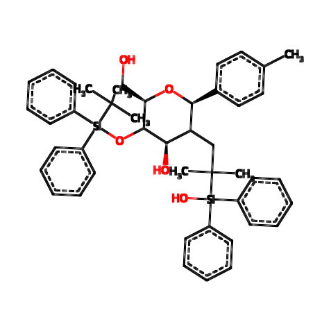 Cc1ccc([C@@H]2O[C@H](CO)C(O[Si](c3ccccc3)(c3ccccc3)C(C)(C)C)[C@H](O)C2CC(C)(C)[Si](O)(c2ccccc2)c2ccccc2)cc1